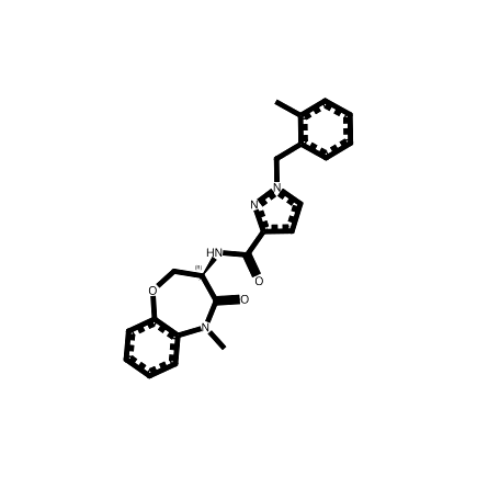 Cc1ccccc1Cn1ccc(C(=O)N[C@@H]2COc3ccccc3N(C)C2=O)n1